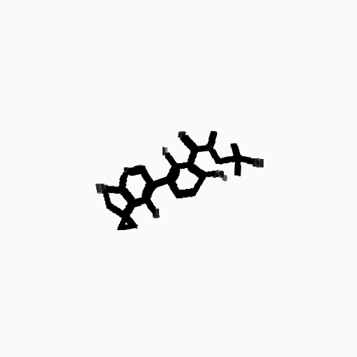 CN(CC(C)(C)O)C(=O)c1c(N)ccc(-c2cnc3c(c2Cl)C2(CC2)CN3)c1F